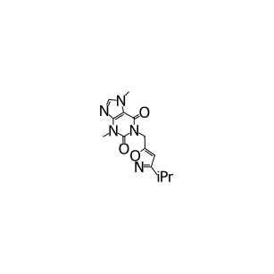 CC(C)c1cc(Cn2c(=O)c3c(ncn3C)n(C)c2=O)on1